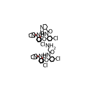 NCCC(=O)Nc1cc(Cl)ccc1OCC(=O)NC1CC2CCC(C1)N2Cc1ccc(Cl)cc1.O=C(COc1ccc(Cl)cc1NC(=O)C1CCCNC1)NC1CC2CCC(C1)N2Cc1ccc(Cl)cc1